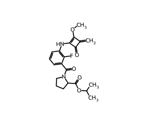 C=C1C(=O)C(Nc2cccc(C(=O)N3CCCC3C(=O)OC(C)C)c2F)=C1OC